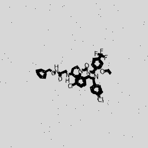 CCOc1cc(C(F)(F)F)ccc1C1=NC(c2ccc(Cl)cc2)C(c2ccc(Cl)cc2)N1C(=O)N1CCC(NCC(=O)NOCc2ccccc2)CC1